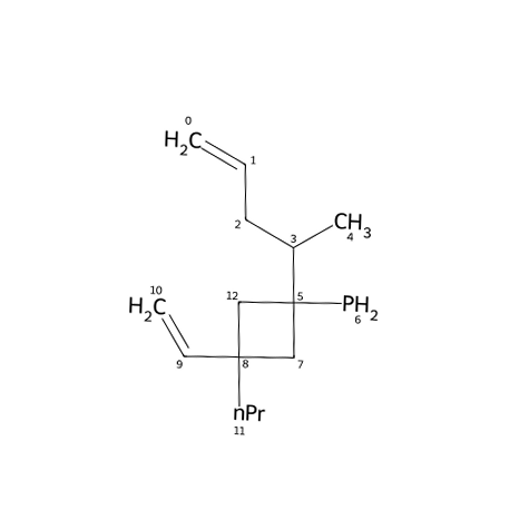 C=CCC(C)C1(P)CC(C=C)(CCC)C1